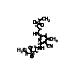 C=CS(=O)(=O)CCNc1cc(C)c(C#N)c(NCCS(=O)(=O)C=C)n1